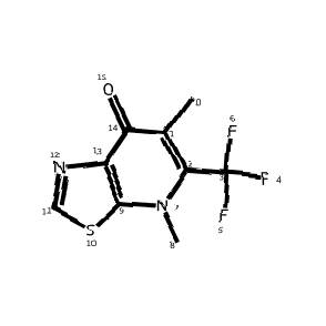 Cc1c(C(F)(F)F)n(C)c2scnc2c1=O